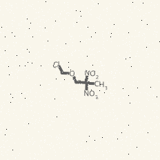 CC(COCCl)([N+](=O)[O-])[N+](=O)[O-]